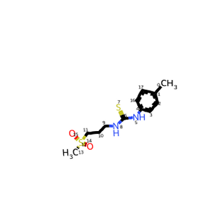 Cc1ccc(NC(=S)NCCCS(C)(=O)=O)cc1